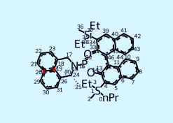 CCCS(C)(CC)c1cc2ccccc2c2c1op(N(Cc1ccccc1)[C@H](C)c1ccccc1)oc1c([Si](C)(CC)CC)cc3ccccc3c12